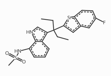 CCC(CC)(c1cc2cc(F)ccc2s1)c1c[nH]c2c(NS(C)(=O)=O)cccc12